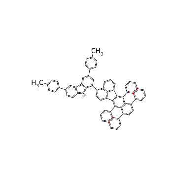 Cc1ccc(-c2ccc3sc4c(-c5ccc6c7c(cccc57)-c5c-6c(-c6ccccc6)c6c(-c7ccccc7)ccc(-c7ccccc7)c6c5-c5ccccc5)cc(-c5ccc(C)cc5)cc4c3c2)cc1